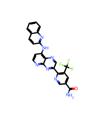 NC(=O)c1cnc(-c2cnc3c(Nc4ccc5ccccc5n4)ccnc3n2)c(C(F)(F)F)c1